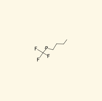 CCCC[P]C(F)(F)F